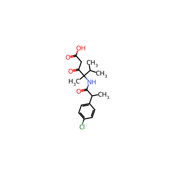 CC(C(=O)NC(C)(C(=O)CC(=O)O)C(C)C)c1ccc(Cl)cc1